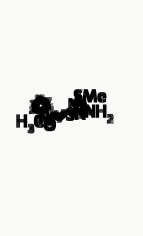 CSc1cc(N)nc(SC/C=C/C(=O)N(C)c2ccccc2)n1